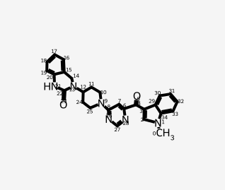 Cn1cc(C(=O)c2cc(N3CCC(N4Cc5ccccc5NC4=O)CC3)ncn2)c2ccccc21